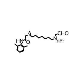 CCCN(CC=O)CCCCCCCN(C)CC(=O)Nc1c(C)cccc1C